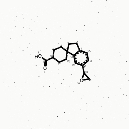 O=C(O)C1CCC2(CCc3ccc(C4CO4)cc32)CC1